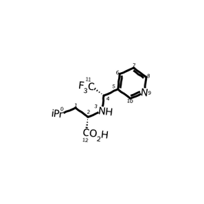 CC(C)C[C@H](N[C@@H](c1cccnc1)C(F)(F)F)C(=O)O